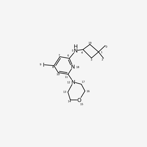 CC1(C)CC(Nc2cc(I)cc(N3CCOCC3)n2)C1